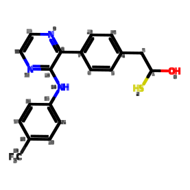 OC(S)Cc1ccc(-c2nccnc2Nc2ccc(C(F)(F)F)cc2)cc1